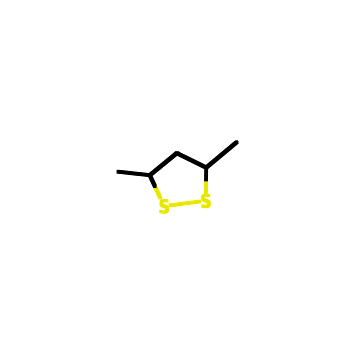 CC1CC(C)SS1